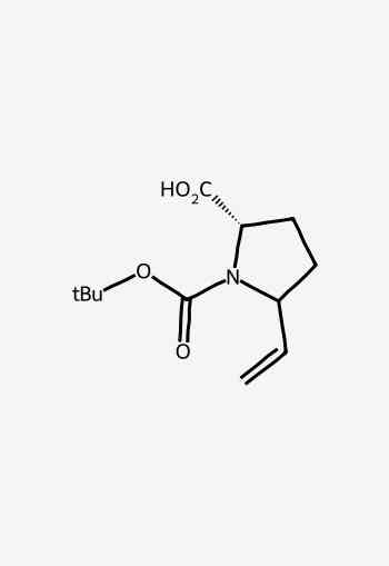 C=CC1CC[C@@H](C(=O)O)N1C(=O)OC(C)(C)C